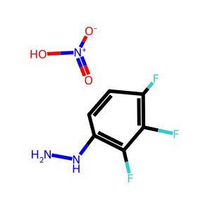 NNc1ccc(F)c(F)c1F.O=[N+]([O-])O